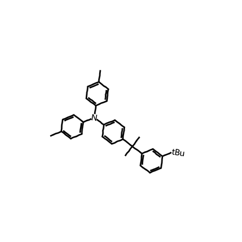 Cc1ccc(N(c2ccc(C)cc2)c2ccc(C(C)(C)c3cccc(C(C)(C)C)c3)cc2)cc1